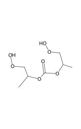 CC(COO)OC(=O)OC(C)COO